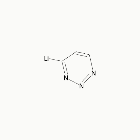 [Li][c]1ccnnn1